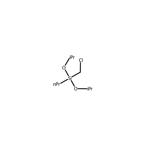 CCC[Si](CCl)(OC(C)C)OC(C)C